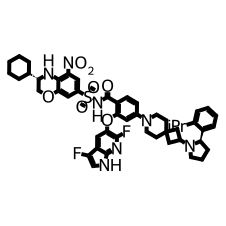 CC(C)c1ccccc1[C@H]1CCCN1C1CC2(CCN(c3ccc(C(=O)NS(=O)(=O)c4cc5c(c([N+](=O)[O-])c4)N[C@@H](C4CCCCC4)CO5)c(Oc4cc5c(F)c[nH]c5nc4F)c3)CC2)C1